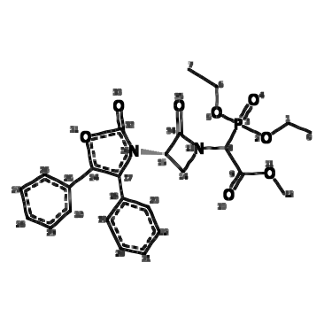 CCOP(=O)(OCC)C(C(=O)OC)N1C[C@H](n2c(-c3ccccc3)c(-c3ccccc3)oc2=O)C1=O